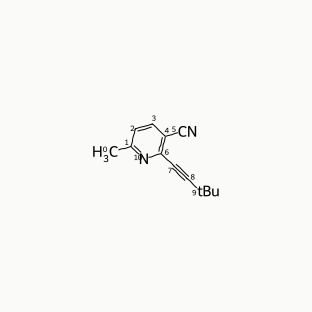 Cc1ccc(C#N)c(C#CC(C)(C)C)n1